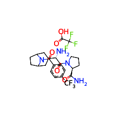 NC(=O)[C@@H]1CCCN1C(=O)[C@@H](N)C1CC2CCC(C1)N2C(=O)c1ccc(C(F)(F)F)cc1.O=C(O)C(F)(F)F